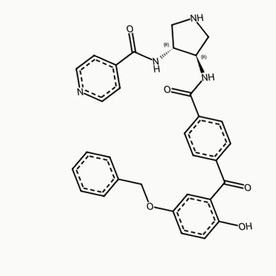 O=C(N[C@@H]1CNC[C@H]1NC(=O)c1ccc(C(=O)c2cc(OCc3ccccc3)ccc2O)cc1)c1ccncc1